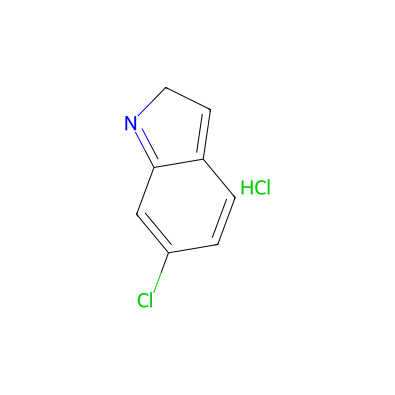 Cl.Clc1ccc2c(c1)=NCC=2